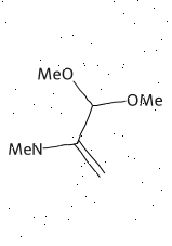 C=C(NC)C(OC)OC